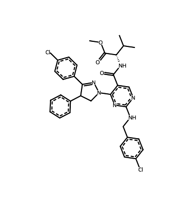 COC(=O)[C@@H](NC(=O)c1cnc(NCc2ccc(Cl)cc2)nc1N1CC(c2ccccc2)C(c2ccc(Cl)cc2)=N1)C(C)C